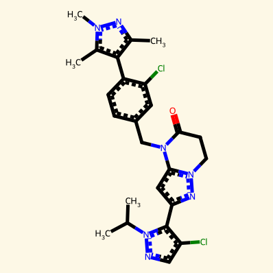 Cc1nn(C)c(C)c1-c1ccc(CN2C(=O)CCn3nc(-c4c(Cl)cnn4C(C)C)cc32)cc1Cl